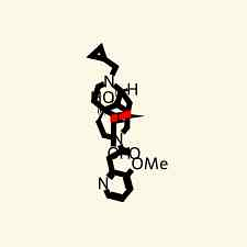 COc1cccnc1CC(=O)N1CC[C@]23CCN(CC4CC4)[C@H](Cc4ccc(O)cc42)[C@]3(O)CC1